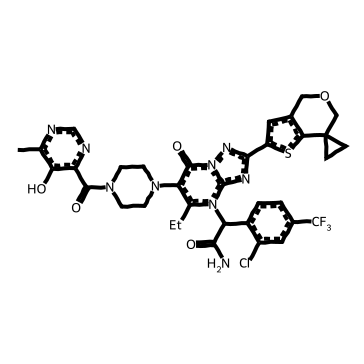 CCc1c(N2CCN(C(=O)c3ncnc(C)c3O)CC2)c(=O)n2nc(-c3cc4c(s3)C3(CC3)COC4)nc2n1C(C(N)=O)c1ccc(C(F)(F)F)cc1Cl